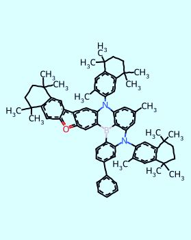 Cc1cc2c3c(c1)N(c1cc4c(cc1C)C(C)(C)CCC4(C)C)c1cc4c(cc1B3c1ccc(-c3ccccc3)cc1N2c1cc2c(cc1C)C(C)(C)CCC2(C)C)oc1cc2c(cc14)C(C)(C)CCC2(C)C